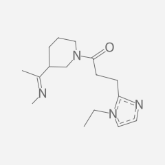 CCn1ccnc1CCC(=O)N1CCCC(C(C)=NC)C1